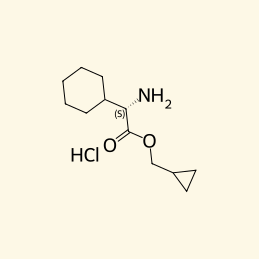 Cl.N[C@H](C(=O)OCC1CC1)C1CCCCC1